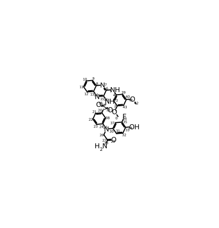 COc1cc(Nc2nc3ccccc3nc2NS(=O)(=O)c2cccc(N(CC(N)=O)c3ccc(O)c(F)c3)c2)cc(OC)c1